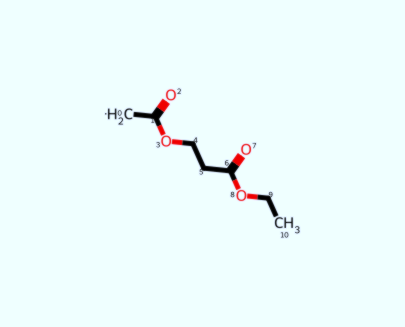 [CH2]C(=O)OCCC(=O)OCC